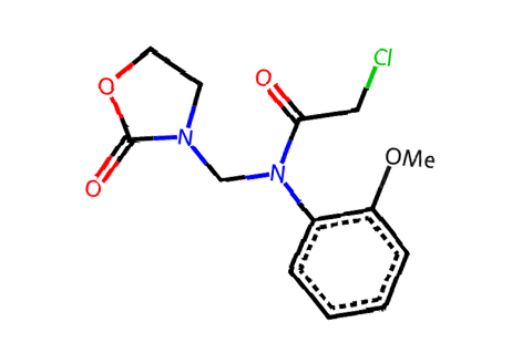 COc1ccccc1N(CN1CCOC1=O)C(=O)CCl